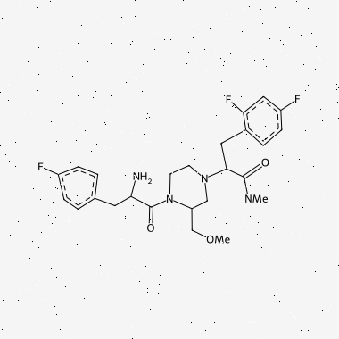 CNC(=O)C(Cc1ccc(F)cc1F)N1CCN(C(=O)C(N)Cc2ccc(F)cc2)C(COC)C1